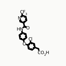 O=C(O)Cc1ccc(Oc2ccc(NC(=O)c3ccc(C(F)(F)F)nc3)cc2)c(Cl)c1